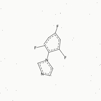 Fc1cc(F)c(-n2c[c]nc2)c(F)c1